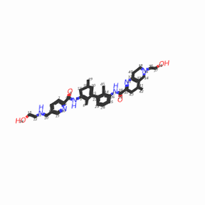 CC1=C(NC(=O)c2ccc(CNCCO)cn2)CC(C)C=C1c1cccc(NC(=O)C2=NC3=C(CN(CCO)CC3)C(C)C2)c1C